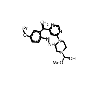 C=C(c1cc(N2CCN([C@@H](O)OC)CC2)ncn1)c1cc(OC(C)C)ccc1NN